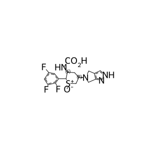 O=C(O)N[C@H]1C[C@@H](N2Cc3c[nH]nc3C2)C[S+]([O-])C1c1cc(F)cc(F)c1F